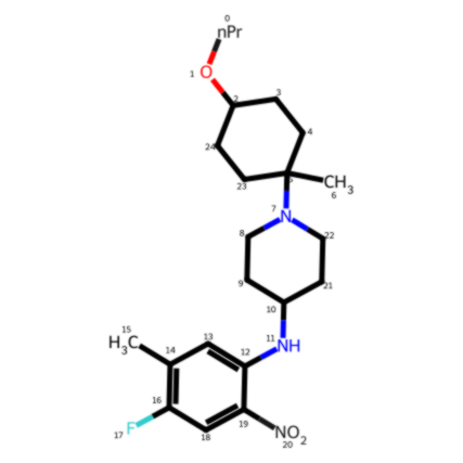 CCCOC1CCC(C)(N2CCC(Nc3cc(C)c(F)cc3[N+](=O)[O-])CC2)CC1